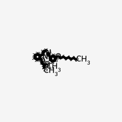 CCCCCCCCOc1cccc(-c2nccc(-c3ccccc3OCC(CC)OC)n2)c1